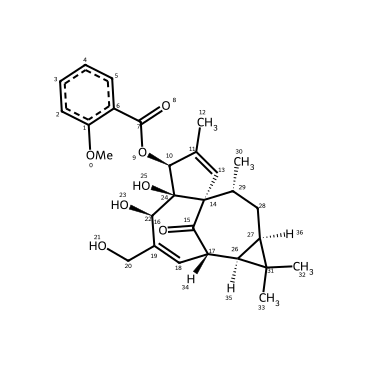 COc1ccccc1C(=O)O[C@H]1C(C)=C[C@]23C(=O)[C@@H](C=C(CO)[C@@H](O)[C@]12O)[C@H]1[C@@H](C[C@H]3C)C1(C)C